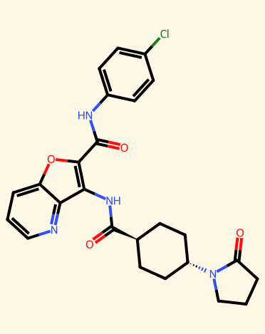 O=C(Nc1ccc(Cl)cc1)c1oc2cccnc2c1NC(=O)[C@H]1CC[C@H](N2CCCC2=O)CC1